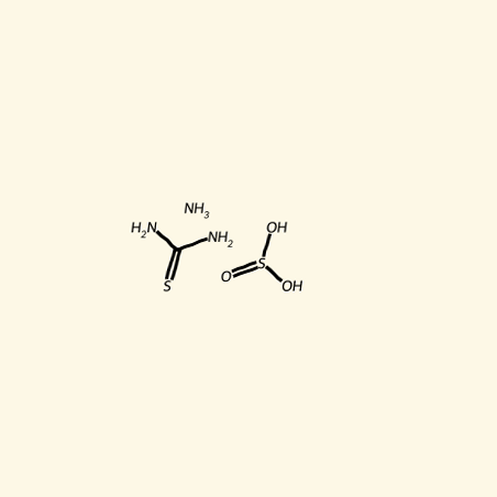 N.NC(N)=S.O=S(O)O